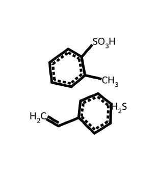 C=Cc1ccccc1.Cc1ccccc1S(=O)(=O)O.S